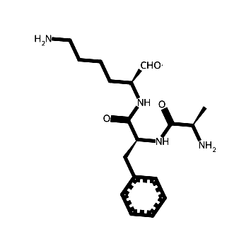 C[C@@H](N)C(=O)N[C@@H](Cc1ccccc1)C(=O)N[C@H]([C]=O)CCCCN